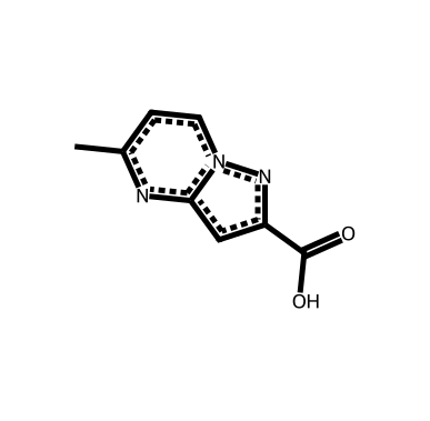 Cc1ccn2nc(C(=O)O)cc2n1